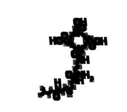 CC(C)CCC(=O)NCCN(C)CCNC(=O)[C@H](N)CCCNC(=O)CN1CCN(CC(=O)O)CCN(CC(=O)O)CCN(CC(=O)O)CC1